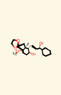 CCO[C@@]12CC[C@H](O)[C@@H](/C=C/[C@@H](O)C3CCCCC3)[C@@H]1CC21OCCO1